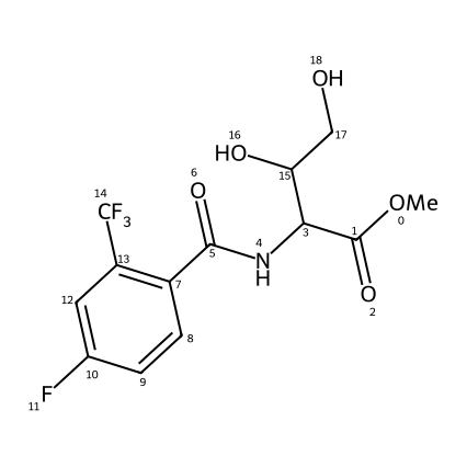 COC(=O)C(NC(=O)c1ccc(F)cc1C(F)(F)F)C(O)CO